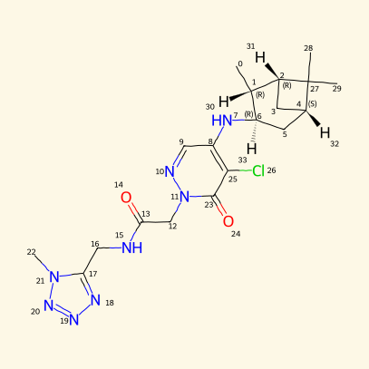 C[C@@H]1[C@H]2C[C@@H](C[C@H]1Nc1cnn(CC(=O)NCc3nnnn3C)c(=O)c1Cl)C2(C)C